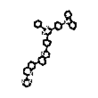 c1ccc(-c2nc(-c3ccc(-c4ccc5ccc(-c6ccc7ccc(-c8ncccn8)nc7c6)cc5n4)cc3)cc(-c3ccc(-n4c5ccccc5c5ccccc54)cc3)n2)cc1